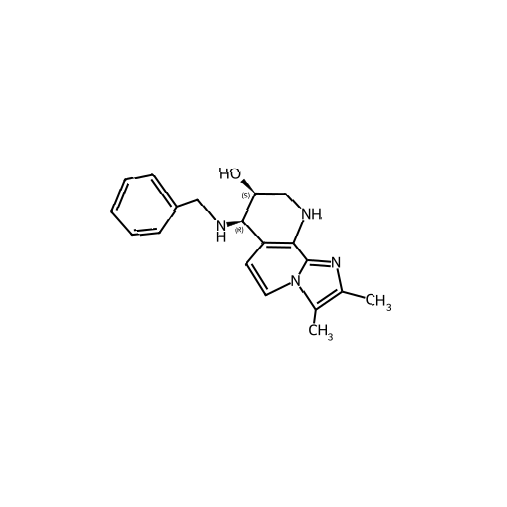 Cc1nc2c3c(ccn2c1C)[C@@H](NCc1ccccc1)[C@@H](O)CN3